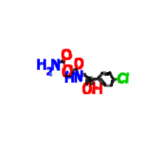 NC(=O)OC(=O)NC[C@H](O)c1ccc(Cl)cc1